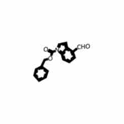 O=Cc1cccc2c1ccn2C(=O)OCc1ccccc1